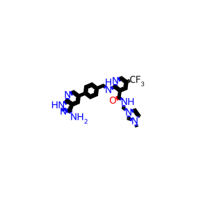 CN1C=CN(CNC(=O)c2cc(C(F)(F)F)cnc2NCc2ccc(-c3cnc4[nH]nc(N)c4c3)cc2)C1